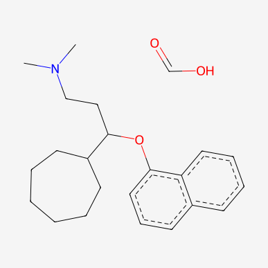 CN(C)CCC(Oc1cccc2ccccc12)C1CCCCCC1.O=CO